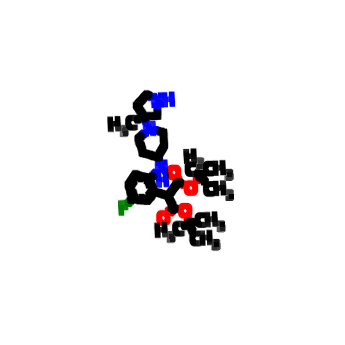 CC(C)(C)OC(=O)C(C(=O)OC(C)(C)C)c1cc(F)ccc1NC1CCN(C2(C)CCNC2)CC1